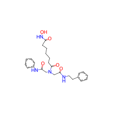 O=C(CCCCCC(=O)N(CC(=O)NCCc1ccccc1)CC(=O)Nc1ccccc1)NO